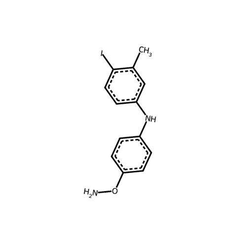 Cc1cc(Nc2ccc(ON)cc2)ccc1I